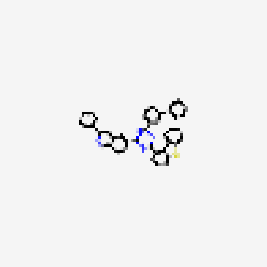 c1ccc(-c2cccc(-c3nc(-c4ccc5cnc(-c6ccccc6)cc5c4)nc(-c4cccc5sc6ccccc6c45)n3)c2)cc1